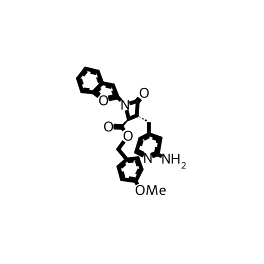 COc1ccc(COC(=O)[C@@H]2[C@@H](Cc3ccnc(N)c3)C(=O)N2c2cc3ccccc3o2)cc1